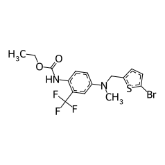 CCOC(=O)Nc1ccc(N(C)Cc2ccc(Br)s2)cc1C(F)(F)F